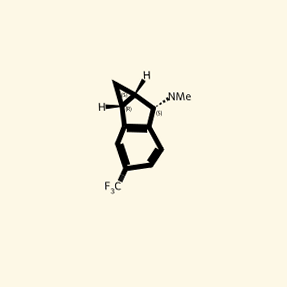 CN[C@@H]1c2ccc(C(F)(F)F)cc2[C@@H]2C[C@H]12